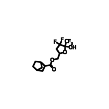 O=C(OCC1CC(F)(F)C(O)(C(F)(F)F)O1)C1CC2CCC1C2